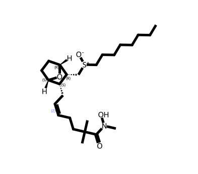 CCCCCCCC[S+]([O-])C[C@@H]1[C@H](C/C=C\CCC(C)(C)C(=O)N(C)O)[C@@H]2CC[C@H]1O2